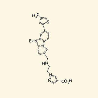 CCn1c2ccc(CNCCn3cc(C(=O)O)cn3)cc2c2ccc(-c3cc(C)cs3)cc21